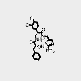 Nc1ncc(CNC(=O)[C@@H](CNC(=O)[C@H](O)Cc2ccccc2)c2ccc(Cl)c(Cl)c2)s1